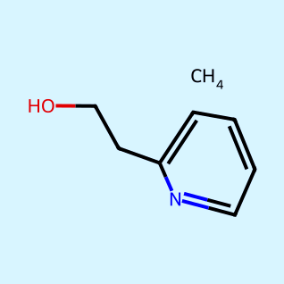 C.OCCc1ccccn1